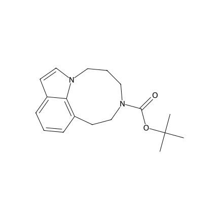 CC(C)(C)OC(=O)N1CCCn2ccc3cccc(c32)CC1